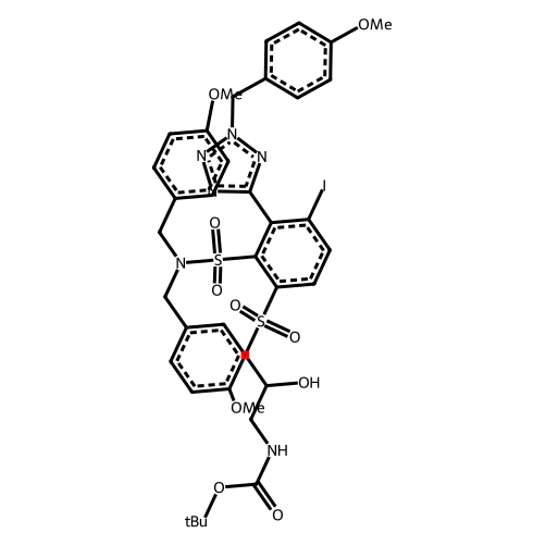 COc1ccc(CN(Cc2ccc(OC)cc2)S(=O)(=O)c2c(S(=O)(=O)CC(O)CNC(=O)OC(C)(C)C)ccc(I)c2-c2nnn(Cc3ccc(OC)cc3)n2)cc1